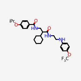 CC(C)Oc1ccc(C(=O)NCC(C(=O)NCCNc2ccc(OC(F)(F)F)cc2)C2CCCCC2)cc1